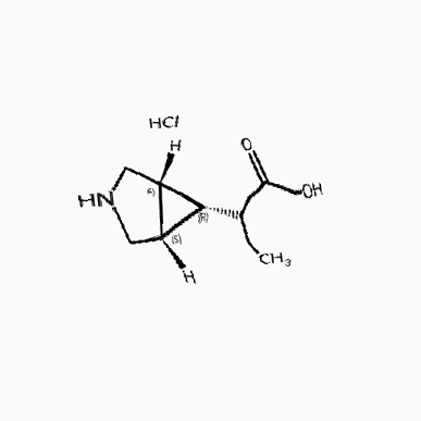 CC(C(=O)O)[C@@H]1[C@@H]2CNC[C@@H]21.Cl